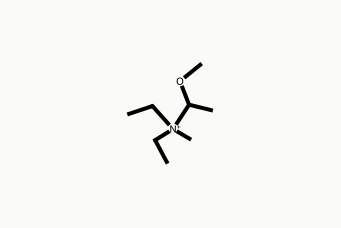 CC[N+](C)(CC)C(C)OC